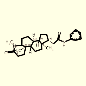 CN1C(=O)CC[C@@]2(C)C1CC[C@H]1[C@@H]3CC[C@H](CC(=O)Nc4ccccc4)[C@@]3(C)CC[C@@H]12